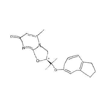 Cc1cc(=O)nc2n1C[C@@H](C(C)(C)Oc1ccc3c(c1)CCC3)O2